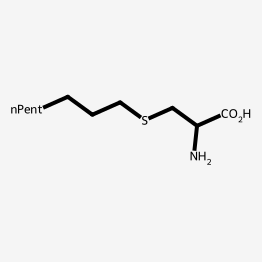 CCCCCCCCSCC(N)C(=O)O